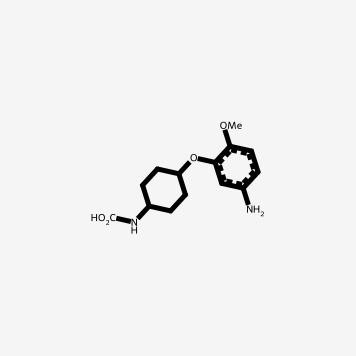 COc1ccc(N)cc1OC1CCC(NC(=O)O)CC1